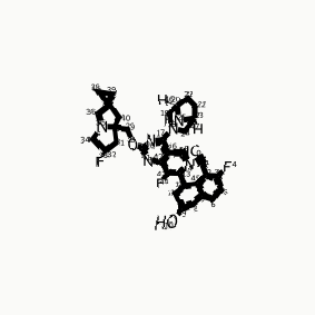 C#Cc1c(F)ccc2cc(O)cc(-c3ncc4c(N5C[C@H]6CC[C@@H](C5)N6)nc(OCC56C[C@@H](F)CN5CC5(CC5)C6)nc4c3F)c12